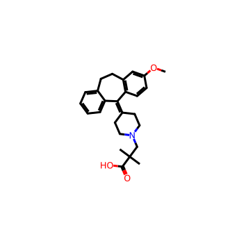 COc1ccc2c(c1)CCc1ccccc1C2=C1CCN(CC(C)(C)C(=O)O)CC1